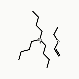 C=COCC.CCC[CH2][SnH]([CH2]CCC)[CH2]CCC